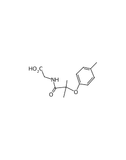 Cc1ccc(OC(C)(C)C(=O)NCC(=O)O)cc1